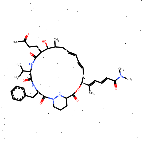 CC(=O)CCC1C(=O)NC(C(C)C)C(=O)NC(Cc2ccccc2)C(=O)N2CCCC(N2)C(=O)O[C@H](/C(C)=C/C=C/C(=O)N(C)C)C/C=C/C=C/CC(C)C1O